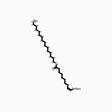 CCCCCC/C=C\CCCCCCCC(=O)OCCCCCCCCCCCCCCCC(C)CC